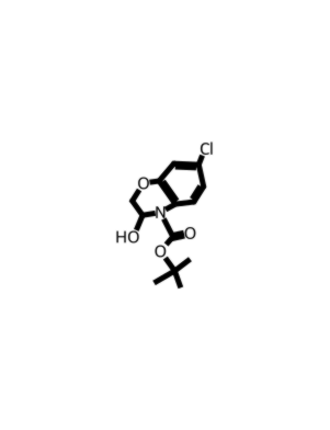 CC(C)(C)OC(=O)N1c2ccc(Cl)cc2OCC1O